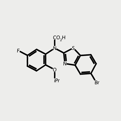 CC(C)Oc1ccc(F)cc1N(C(=O)O)c1nc2cc(Br)ccc2s1